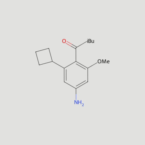 CCC(C)C(=O)c1c(OC)cc(N)cc1C1CCC1